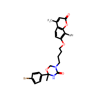 CCCc1c(OCCCCN2COC(C)(c3ccc(Br)cc3)NC2=O)ccc2c(C(F)(F)F)cc(=O)oc12